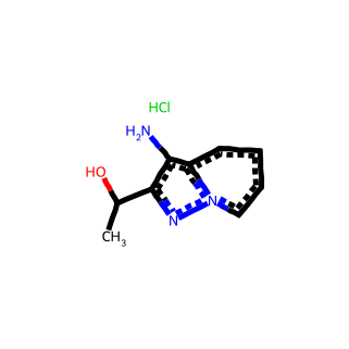 CC(O)c1nn2ccccc2c1N.Cl